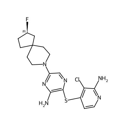 Nc1nc(N2CCC3(CC[C@@H](F)C3)CC2)cnc1Sc1ccnc(N)c1Cl